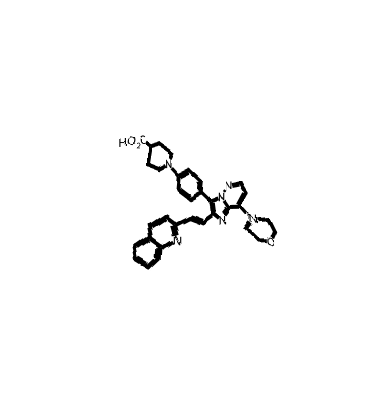 O=C(O)C1CCN(c2ccc(-c3c(C=Cc4ccc5ccccc5n4)nc4c(N5CCOCC5)ccnn34)cc2)CC1